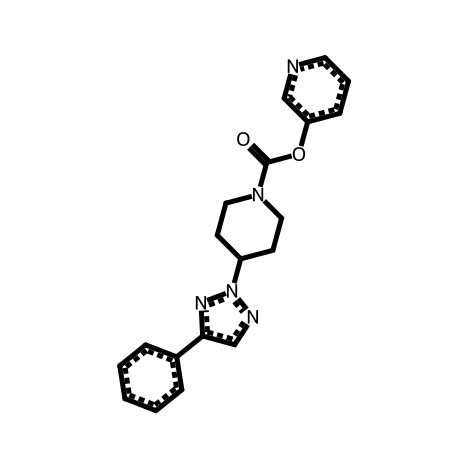 O=C(Oc1cccnc1)N1CCC(n2ncc(-c3ccccc3)n2)CC1